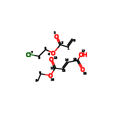 C=CC(=O)OCCCl.CCOC(=O)C=CC(=O)O